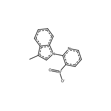 Cc1cn(-c2ncccc2[N+](=O)[O-])c2ccccc12